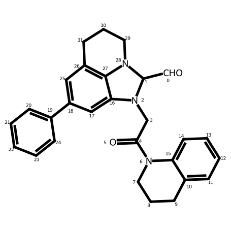 O=CC1N(CC(=O)N2CCCc3ccccc32)c2cc(-c3ccccc3)cc3c2N1CCC3